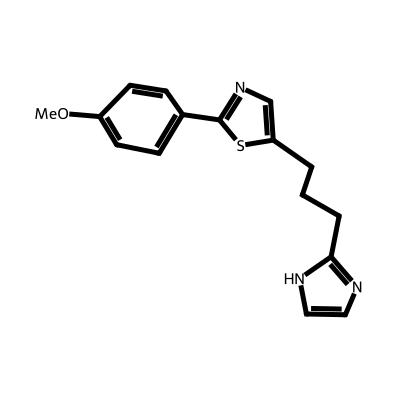 COc1ccc(-c2ncc(CCCc3ncc[nH]3)s2)cc1